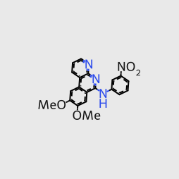 COc1cc2c(Nc3cccc([N+](=O)[O-])c3)nc3ncccc3c2cc1OC